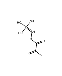 C=C(C)C(=O)O[SH]=P(O)(O)O